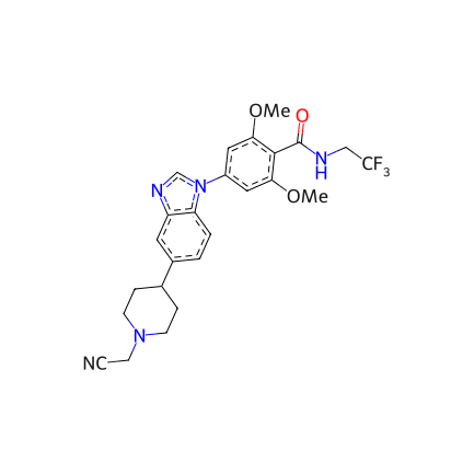 COc1cc(-n2cnc3cc(C4CCN(CC#N)CC4)ccc32)cc(OC)c1C(=O)NCC(F)(F)F